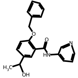 CC(O)c1ccc(OCc2ccccc2)c(C(=O)Nc2cccnc2)c1